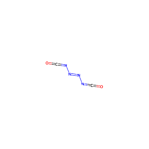 O=C=NN=NN=C=O